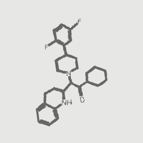 O=C(C1CCCCC1)C(C1CCc2ccccc2N1)N1CCC(c2cc(F)ccc2F)CC1